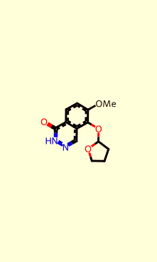 COc1ccc2c(=O)[nH]ncc2c1OC1CCCO1